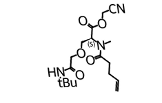 C=CCCC(=O)N(C)[C@@H](COCC(=O)NC(C)(C)C)C(=O)OCC#N